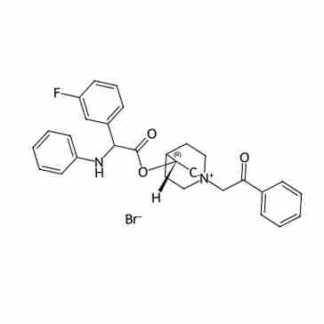 O=C(C[N+]12CCC(CC1)[C@@H](OC(=O)C(Nc1ccccc1)c1cccc(F)c1)C2)c1ccccc1.[Br-]